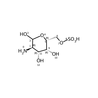 N[C@H]1C(O)O[C@H](COS(=O)(=O)O)[C@H](O)[C@@H]1O